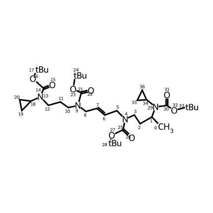 CC(CCN(CC=CCN(CCCN(C(=O)OC(C)(C)C)C1CC1)C(=O)OC(C)(C)C)C(=O)OC(C)(C)C)N(C(=O)OC(C)(C)C)C1CC1